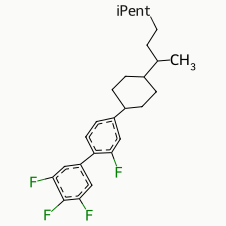 CCCC(C)CCC(C)C1CCC(c2ccc(-c3cc(F)c(F)c(F)c3)c(F)c2)CC1